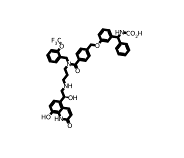 O=C(O)NC(c1ccccc1)c1cccc(OCc2ccc(C(=O)N(CCCNC[C@@H](O)c3ccc(O)c4[nH]c(=O)ccc34)Cc3ccccc3OC(F)(F)F)cc2)c1